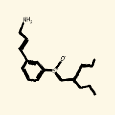 CCCC(CCC)C[S+]([O-])c1cccc(C=CCN)c1